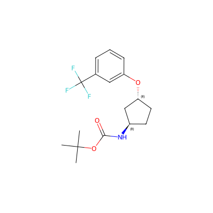 CC(C)(C)OC(=O)N[C@@H]1CC[C@@H](Oc2cccc(C(F)(F)F)c2)C1